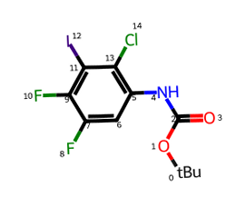 CC(C)(C)OC(=O)Nc1cc(F)c(F)c(I)c1Cl